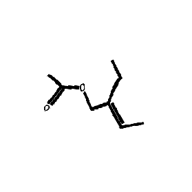 C/C=C(\CC)COC(C)=O